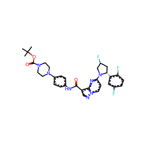 CC(C)(C)OC(=O)N1CCN(c2ccc(NC(=O)c3cnn4ccc(N5C[C@@H](F)C[C@@H]5c5cc(F)ccc5F)nc34)cc2)CC1